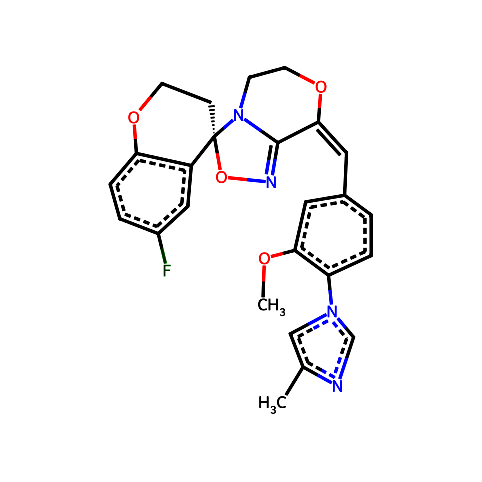 COc1cc(/C=C2/OCCN3C2=NO[C@]32CCOc3ccc(F)cc32)ccc1-n1cnc(C)c1